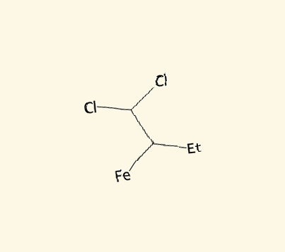 CC[CH]([Fe])C(Cl)Cl